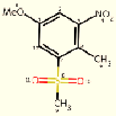 COc1cc([N+](=O)[O-])c(C)c(S(C)(=O)=O)c1